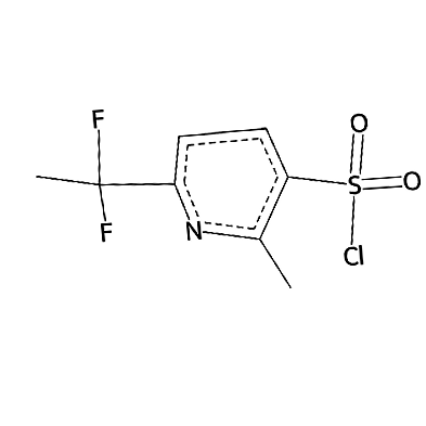 Cc1nc(C(C)(F)F)ccc1S(=O)(=O)Cl